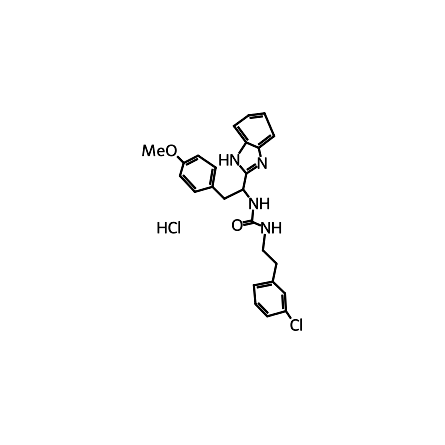 COc1ccc(CC(NC(=O)NCCc2cccc(Cl)c2)c2nc3ccccc3[nH]2)cc1.Cl